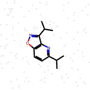 CC(C)c1ccc2onc(C(C)C)c2n1